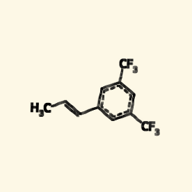 C/C=C/c1cc(C(F)(F)F)cc(C(F)(F)F)c1